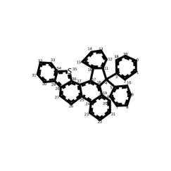 c1ccc(C2(c3ccccc3)c3ccccc3-c3c2c2ccccc2c2ccc4c5ccccc5sc4c32)cc1